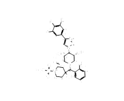 CS(=O)(=O)N1CCC(O)([C@@H](c2ccccc2C(F)(F)F)[SH]2C[C@H](O)[C@H](n3cc(-c4cc(F)c(F)c(F)c4)nn3)[C@@H](O)[C@H]2CO)CC1